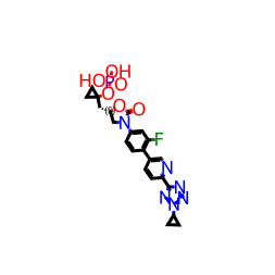 O=C1O[C@@H](CC2(OP(=O)(O)O)CC2)CN1c1ccc(-c2ccc(-c3nnn(C4CC4)n3)nc2)c(F)c1